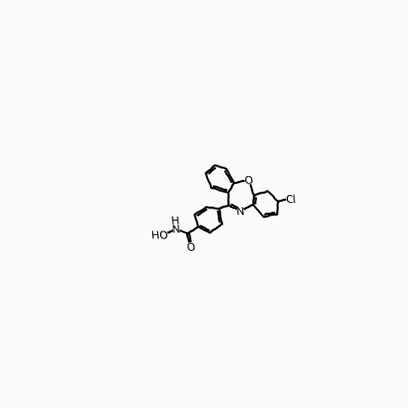 O=C(NO)c1ccc(C2=NC3=C(CC(Cl)C=C3)Oc3ccccc32)cc1